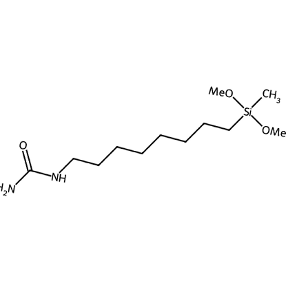 CO[Si](C)(CCCCCCCCNC(N)=O)OC